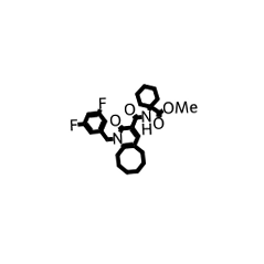 COC(=O)C1(NC(=O)c2cc3c(n(Cc4cc(F)cc(F)c4)c2=O)CCCCCC3)CCCCC1